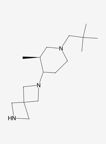 C[C@H]1CN(CC(C)(C)C)CCC1N1CC2(CNC2)C1